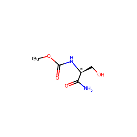 CC(C)(C)OC(=O)N[C@@H](CO)C(N)=O